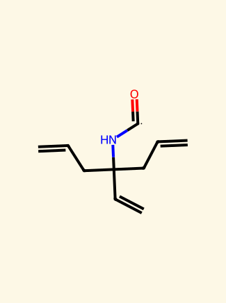 C=CCC(C=C)(CC=C)N[C]=O